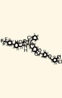 CC[C@@H](c1ccccc1)N1Cc2cc3c(cc2C[C@H]1C(=O)NC(Cc1ccc(-c2ccc(C(F)(F)F)cc2)cc1)C(=O)O)OC[C@H](c1ccc(OCc2ccc(Cl)c(Cl)c2)cc1)O3